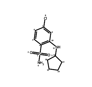 NS(=O)(=O)c1ccc(Cl)cc1NC1CCCC1